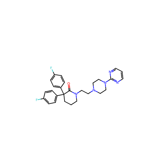 O=C1N(CCN2CCN(c3ncccn3)CC2)CCCC1(c1ccc(F)cc1)c1ccc(F)cc1